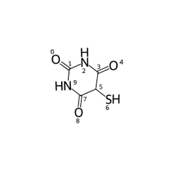 O=C1NC(=O)C(S)C(=O)N1